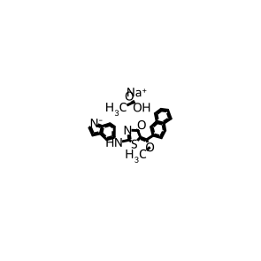 CC(=O)O.COC(=C1SC(Nc2ccc3[n-]ccc3c2)=NC1=O)c1ccc2ccccc2c1.[Na+]